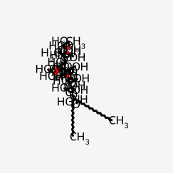 CCCCCCCCCCCCC/C=C/[C@@H](O)[C@H](CO[C@@H]1OC(CO)[C@@H](O[C@@H]2OC(CO)[C@H](O[C@@H]3OC(CO)[C@H](O)[C@H](O[C@@H]4OC(CO[C@@H]5OC(CO)[C@@H](O)[C@H](O[C@H]6C(O)[C@H](O)C(C)O[C@H]6O)C5NC(C)=O)[C@H](O)[C@H](O[C@@H]5OC(CO)[C@H](O)[C@H](O)C5O)C4NC(C)=O)C3O)[C@H](O)C2O)[C@H](O)C1O)NC(=O)CCCCCCCCCCCCCCCCC